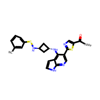 CNC(=O)c1cnc(-c2cnc3[nH]ccc3c2N[C@H]2C[C@H](NSc3cccc(C#N)c3)C2)s1